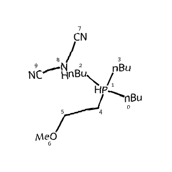 CCCC[PH](CCCC)(CCCC)CCOC.N#CNC#N